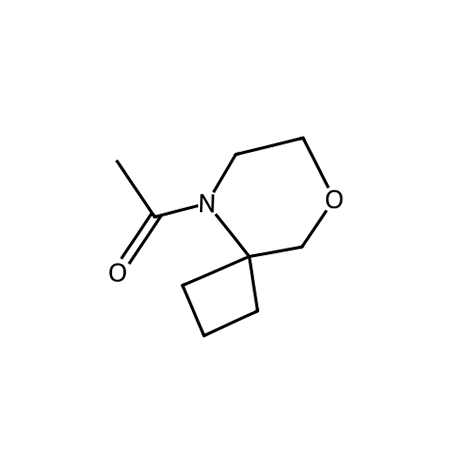 CC(=O)N1CCOCC12CCC2